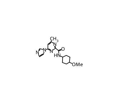 COC1CCC(NC(=O)c2nc(C)cc(-n3ccnc3)n2)CC1